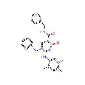 Cc1cc(C)c(Nc2nc(=O)c(C(=O)NCc3ccccc3)cn2Cc2ccccc2)cc1C